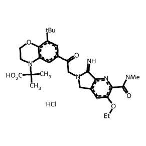 CCOc1cc2c(nc1C(=O)NC)C(=N)N(CC(=O)c1cc3c(c(C(C)(C)C)c1)OCCN3C(C)(C)C(=O)O)C2.Cl